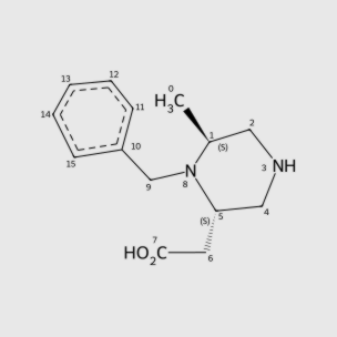 C[C@H]1CNC[C@H](CC(=O)O)N1Cc1ccccc1